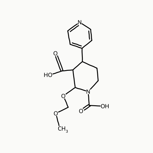 COCOC1C(C(=O)O)C(c2ccncc2)CCN1C(=O)O